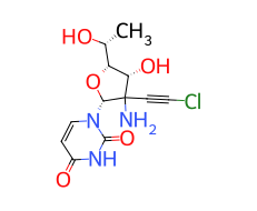 C[C@@H](O)[C@H]1O[C@@H](n2ccc(=O)[nH]c2=O)C(N)(C#CCl)[C@H]1O